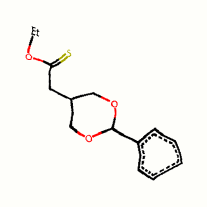 CCOC(=S)CC1COC(c2ccccc2)OC1